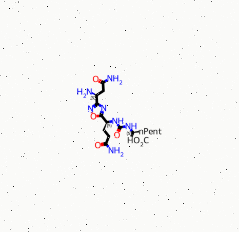 CCCCC[C@H](NC(=O)N[C@@H](CCC(N)=O)c1nc([C@@H](N)CC(N)=O)no1)C(=O)O